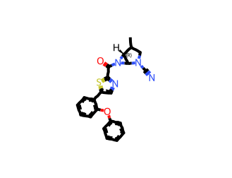 CC1CN(C#N)C2[C@@H]1N2C(=O)c1ncc(-c2ccccc2Oc2ccccc2)s1